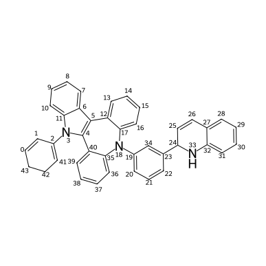 C1=CC(n2c3c(c4ccccc42)-c2ccccc2N(c2cccc(C4C=Cc5ccccc5N4)c2)c2ccccc2-3)=CCC1